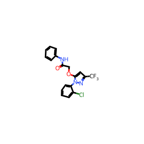 O=C(COc1cc(C(F)(F)F)nn1-c1ccccc1Cl)Nc1ccccc1